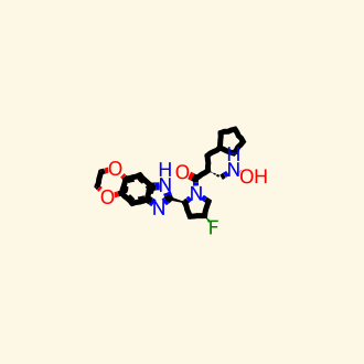 O=C([C@@H](CNO)CC1CCCC1)N1C[C@H](F)C[C@H]1c1nc2cc3c(cc2[nH]1)OCCO3